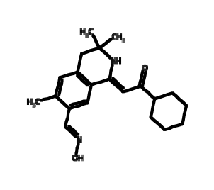 Cc1cc2c(cc1C=NO)/C(=C/C(=O)C1CCCCC1)NC(C)(C)C2